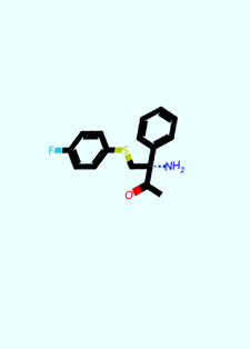 CC(=O)[C@@](N)(CSc1ccc(F)cc1)c1ccccc1